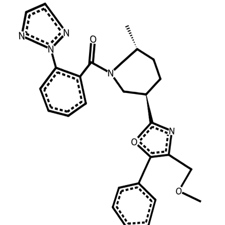 COCc1nc([C@@H]2CC[C@@H](C)N(C(=O)c3ccccc3-n3nccn3)C2)oc1-c1ccccc1